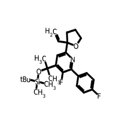 C=CC1(c2cc(C(C)(C)O[Si](C)(C)C(C)(C)C)c(F)c(-c3ccc(F)cc3)n2)CCCO1